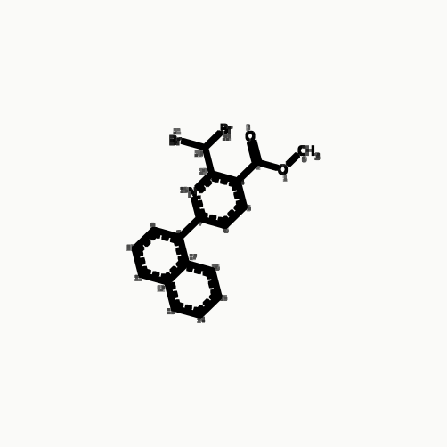 COC(=O)c1ccc(-c2cccc3ccccc23)nc1C(Br)Br